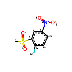 CS(=O)(=O)c1cc([N+](=O)[O-])ccc1F